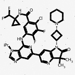 CC(C)n1cnc2cc(-c3cnc4c(c3)N([C@H]3C[C@@H](N5CCCCC5)C3)C(=O)C4(C)C)nc(Nc3cc(C(=O)NC4(C(F)F)CC4)c(Cl)c(F)c3F)c21